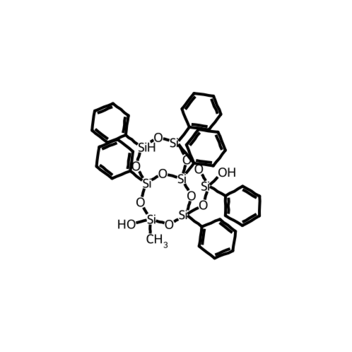 C[Si]1(O)O[Si]2(c3ccccc3)O[SiH](c3ccccc3)O[Si]3(c4ccccc4)O[Si](O)(c4ccccc4)O[Si](c4ccccc4)(O1)O[Si](c1ccccc1)(O2)O3